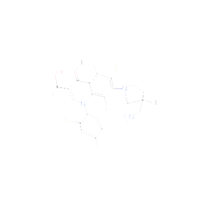 Cc1c(F)c(N2CCC(C)(CN)C2)c(Cl)c2c1c(=O)c(C(=O)O)cn2-c1ccc(F)cc1F